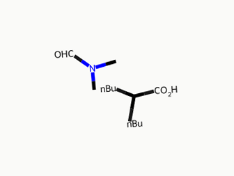 CCCCC(CCCC)C(=O)O.CN(C)C=O